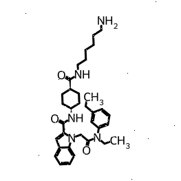 CCc1cccc(N(CC)C(=O)Cn2c(C(=O)N[C@H]3CC[C@H](C(=O)NCCCCCCN)CC3)cc3ccccc32)c1